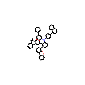 CC1(C)c2ccccc2-c2cc(-c3c(-c4cccc5c4oc4ccccc45)cccc3N(c3ccc(-c4cccc5ccccc45)cc3)c3cccc(-c4ccccc4)c3)ccc21